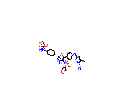 Cc1cc(Nc2ccc(-c3cnc([C@H]4CC[C@H](NC(=O)OC(C)C)CC4)s3)c(S(=N)(=O)C3COC3)c2)n[nH]1